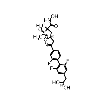 C[C@@H](O)Cc1cc(F)c(-c2ccc(C3=NO[C@@H](CC(C)(C(=O)NO)S(C)(=O)=O)C3)cc2F)c(F)c1